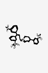 CS(=O)(=O)c1cccc(C2CCN(CCC(c3cccc(S(C)(=O)=O)c3)c3cccc(S(=O)(=O)S)c3)CC2)c1